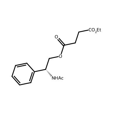 CCOC(=O)CCC(=O)OC[C@H](NC(C)=O)c1ccccc1